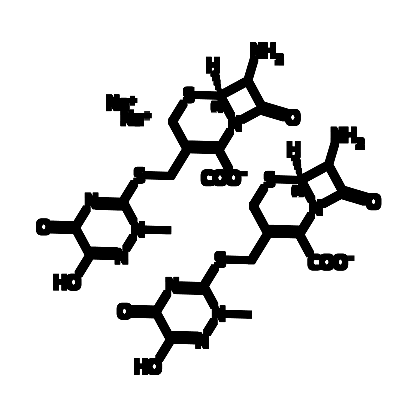 Cn1nc(O)c(=O)nc1SCC1=C(C(=O)[O-])N2C(=O)C(N)[C@@H]2SC1.Cn1nc(O)c(=O)nc1SCC1=C(C(=O)[O-])N2C(=O)C(N)[C@@H]2SC1.[Na+].[Na+]